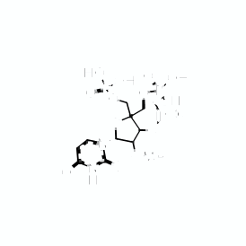 COC1C(O[PH](=O)S)C(COP(=O)(O)O)(COP(=O)(O)O)O[C@H]1n1ccc(=O)[nH]c1=O